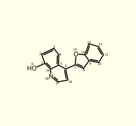 Oc1cccc2c(-c3cc4ccccc4o3)ccnc12